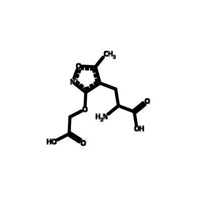 Cc1onc(OCC(=O)O)c1CC(N)C(=O)O